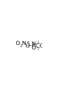 Cc1c(C)c(C)c2oc(-c3ccc([N+](=O)[O-])s3)nc2c1C